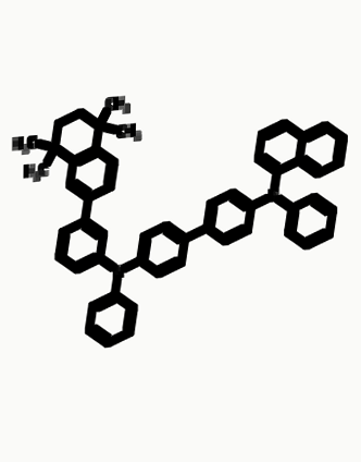 CC1(C)CCC(C)(C)c2cc(-c3cccc(N(c4ccccc4)c4ccc(-c5ccc(N(c6ccccc6)c6cccc7ccccc67)cc5)cc4)c3)ccc21